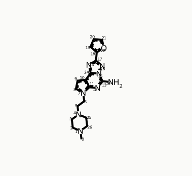 CN1CCN(CCn2ccc3c2nc(N)n2nc(-c4ccco4)nc32)CC1